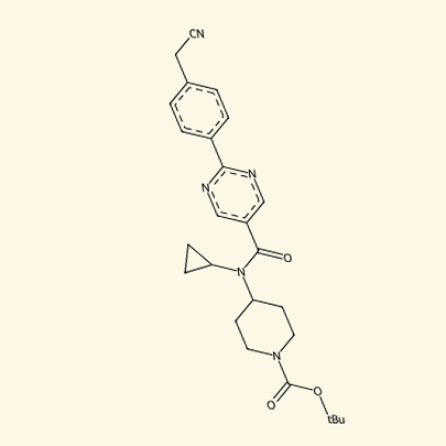 CC(C)(C)OC(=O)N1CCC(N(C(=O)c2cnc(-c3ccc(CC#N)cc3)nc2)C2CC2)CC1